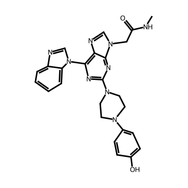 CNC(=O)Cn1cnc2c(-n3cnc4ccccc43)nc(N3CCN(c4ccc(O)cc4)CC3)nc21